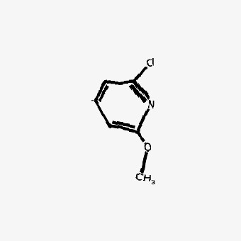 COc1c[c]cc(Cl)n1